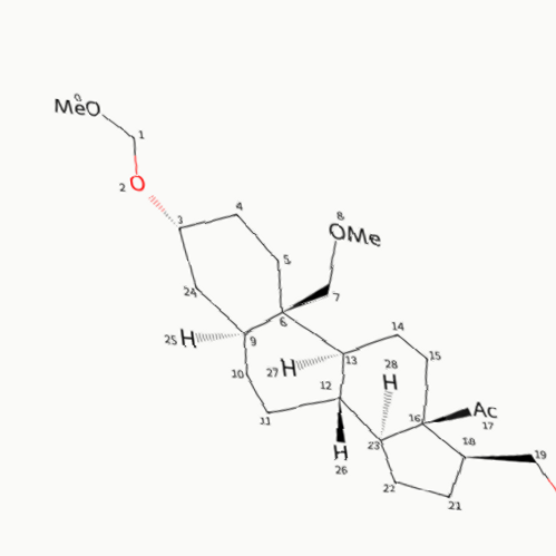 COCO[C@@H]1CC[C@@]2(COC)[C@@H](CC[C@@H]3[C@@H]2CC[C@]2(C(C)=O)[C@@H](CO)CC[C@@H]32)C1